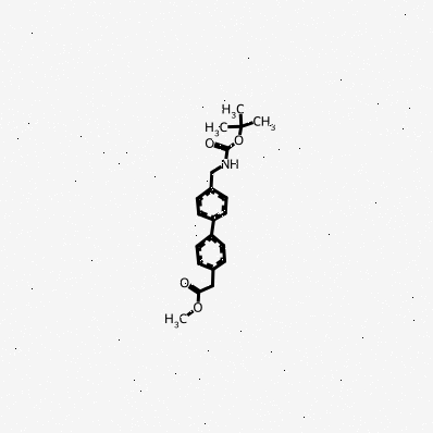 COC(=O)Cc1ccc(-c2ccc(CNC(=O)OC(C)(C)C)cc2)cc1